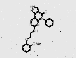 COc1ccccc1OCCNc1ncc2c3n[nH]cc3c(=O)n(-c3ccccc3)c2n1